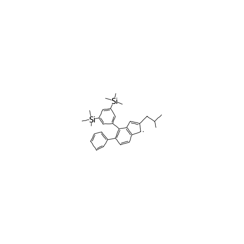 CC(C)CC1=Cc2c(ccc(-c3ccccc3)c2-c2cc([Si](C)(C)C)cc([Si](C)(C)C)c2)[CH]1